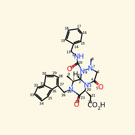 C[C@H]1[C@H]2N(C(=O)CN(C)N2C(=O)NCc2ccccc2)[C@@H](CC(=O)O)C(=O)N1Cc1cccc2ccccc12